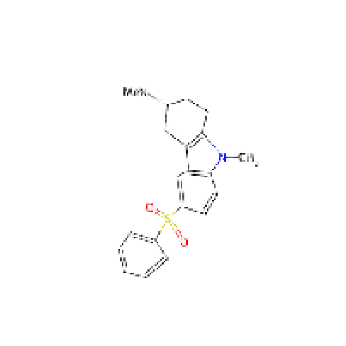 CN[C@@H]1CCc2c(c3cc(S(=O)(=O)c4ccccc4)ccc3n2C)C1